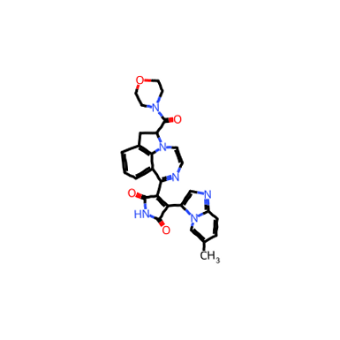 Cc1ccc2ncc(C3=C(C4=NC=CN5c6c(cccc64)CC5C(=O)N4CCOCC4)C(=O)NC3=O)n2c1